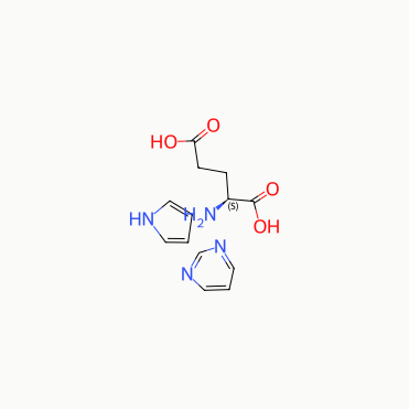 N[C@@H](CCC(=O)O)C(=O)O.c1cc[nH]c1.c1cncnc1